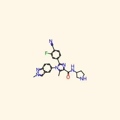 Cc1c(C(=O)NC2CCNC2)nc(-c2ccc(C#N)c(F)c2)n1-c1ccc2nn(C)cc2c1